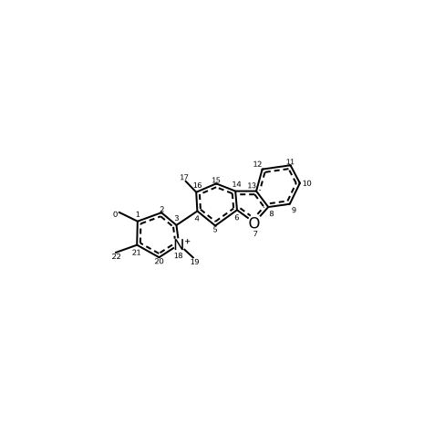 Cc1cc(-c2cc3oc4ccccc4c3cc2C)[n+](C)cc1C